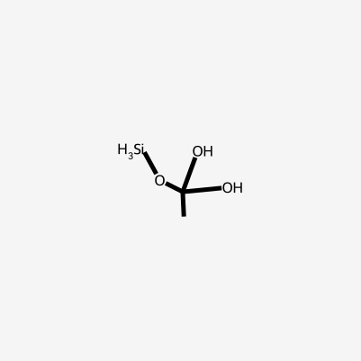 CC(O)(O)O[SiH3]